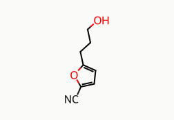 N#Cc1ccc(CCCO)o1